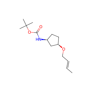 CC=CCO[C@@H]1CC[C@H](NC(=O)OC(C)(C)C)C1